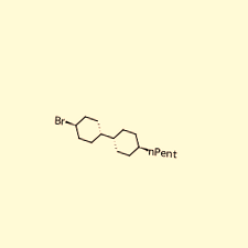 CCCCC[C@H]1CC[C@H]([C@H]2CC[C@H](Br)CC2)CC1